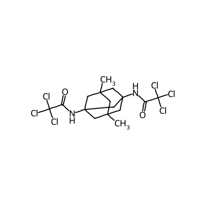 CC12CC3(C)CC(NC(=O)C(Cl)(Cl)Cl)(C1)CC(NC(=O)C(Cl)(Cl)Cl)(C2)C3